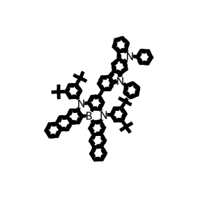 CC(C)(C)c1cc(N2c3cc4cc5ccccc5cc4cc3B3c4cc5cc6ccccc6cc5cc4N(c4cc(C(C)(C)C)cc(C(C)(C)C)c4)c4cc(-c5ccc6c7cc8c9ccccc9n(-c9ccccc9)c8cc7n(-c7ccccc7)c6c5)cc2c43)cc(C(C)(C)C)c1